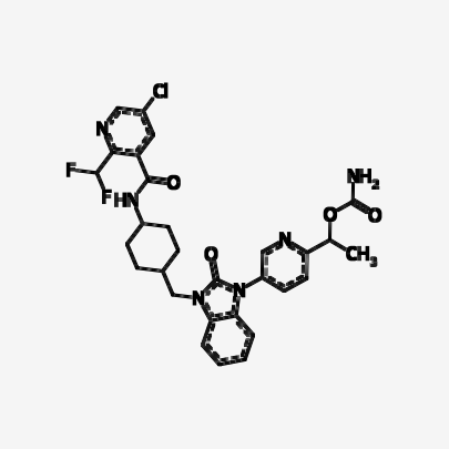 CC(OC(N)=O)c1ccc(-n2c(=O)n(CC3CCC(NC(=O)c4cc(Cl)cnc4C(F)F)CC3)c3ccccc32)cn1